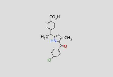 Cc1cc(C(C)c2ccc(C(=O)O)cc2)[nH]c1C(=O)c1ccc(Cl)cc1